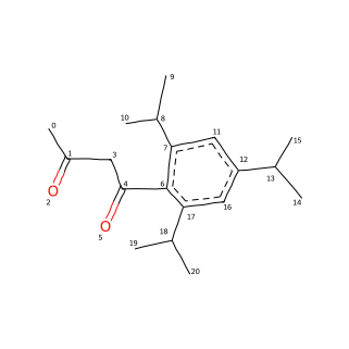 CC(=O)CC(=O)c1c(C(C)C)cc(C(C)C)cc1C(C)C